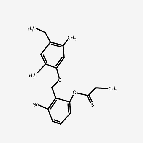 CCC(=S)Oc1cccc(Br)c1COc1cc(C)c(CC)cc1C